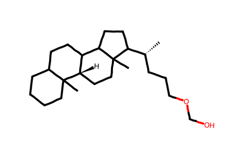 C[C@H](CCCOCO)C1CCC2C3CCC4CCCCC4(C)[C@H]3CCC21C